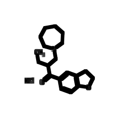 CCC(CN1CCCCCC1)C(=O)c1ccc2c(c1)CCO2.Cl